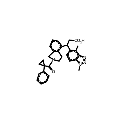 Cc1c(C(CC(=O)O)c2cccc3c2CCN(C(=O)C2(c4ccccc4)CC2)C3)ccc2c1nnn2C